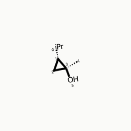 CC(C)[C@H]1C[C@]1(C)O